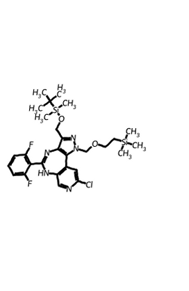 CC(C)(C)[Si](C)(C)OCc1nn(COCC[Si](C)(C)C)c2c1N=C(c1c(F)cccc1F)Nc1cnc(Cl)cc1-2